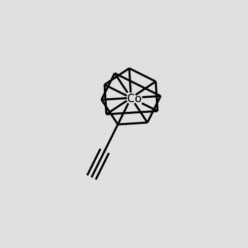 C#C[C]12[CH]3[CH]4[CH]5[CH]1[Co]45321678[CH]2[CH]1[CH]6[CH]7[CH]28